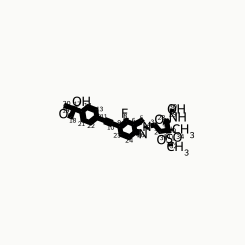 C[C@@](CCn1cc2c(F)c(C#Cc3ccc(C4(O)COC4)cc3)ccc2n1)(C(=O)NO)S(C)(=O)=O